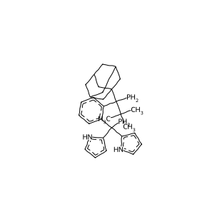 CC(C)(C)C(P)(c1ccccc1C(P)(c1ccc[nH]1)c1ccc[nH]1)C12CC3CC(CC(C3)C1)C2